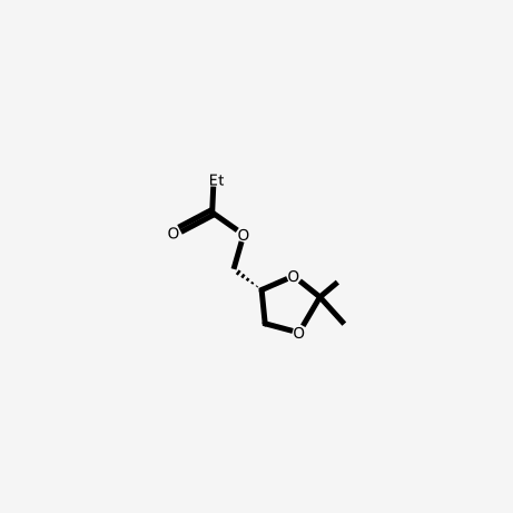 CCC(=O)OC[C@H]1COC(C)(C)O1